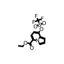 CCOC(=O)c1ccc(OS(=O)(=O)C(F)(F)F)c2cccn12